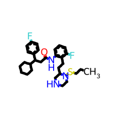 CCCSN1CCNCC1CCc1c(F)cccc1NC(=O)CC(c1ccc(F)cc1)C1CCCCC1